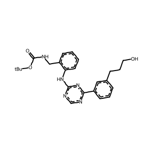 CC(C)(C)OC(=O)NCc1ccccc1Nc1ncnc(-c2cccc(CCCO)c2)n1